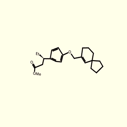 CC[C@H](CC(=O)OC)c1ccc(OCC2=CC3(CCCC3)CCC2)cc1